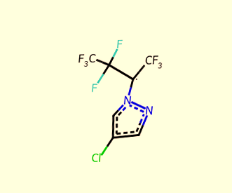 FC(F)(F)[C](n1cc(Cl)cn1)C(F)(F)C(F)(F)F